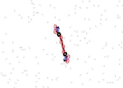 O=C1CCN1C(=O)c1ccc(OCCOCCOCCOc2ccc(C(=O)N3CCC3=O)cc2)cc1